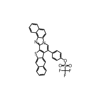 O=S(=O)(Oc1ccc(-c2cn3c4ccc5ccccc5c4nc3c3sc4cc5ccccc5cc4c23)cc1)C(F)(F)F